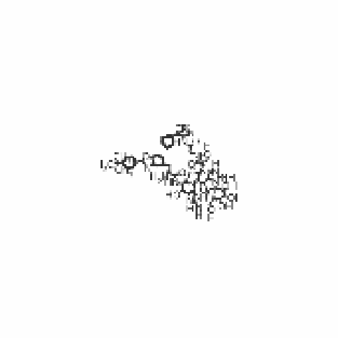 CC(c1ccccc1)[C@@H]([C]=O)NC(=O)CNC(=O)[C@H](CO)NC(=O)[C@H](NC(=O)[C@@H](NC(=O)[C@H](N)Cc1ccc2oc(-c3ccc(C(C)(C)C)cc3)nc2c1)C(O)C1CNC(=N)N1)[C@H](O)C1CNC(=N)N1[C@H]1O[C@H](CO)[C@@H](O)[C@H](O)[C@@H]1O